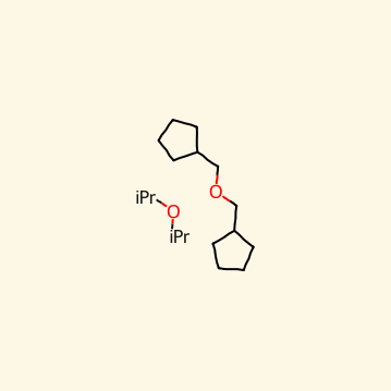 C1CCC(COCC2CCCC2)C1.CC(C)OC(C)C